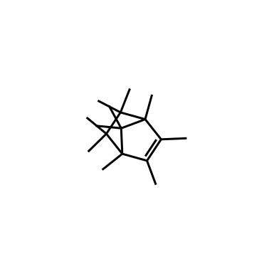 CC1=C(C)C2(C)C(C)(C)C(C)(C)C1(C)C2(C)C